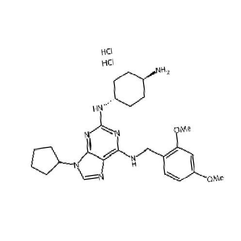 COc1ccc(CNc2nc(N[C@H]3CC[C@H](N)CC3)nc3c2ncn3C2CCCC2)c(OC)c1.Cl.Cl